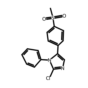 CS(=O)(=O)c1ccc(-c2cnc(Cl)n2-c2ccccc2)cc1